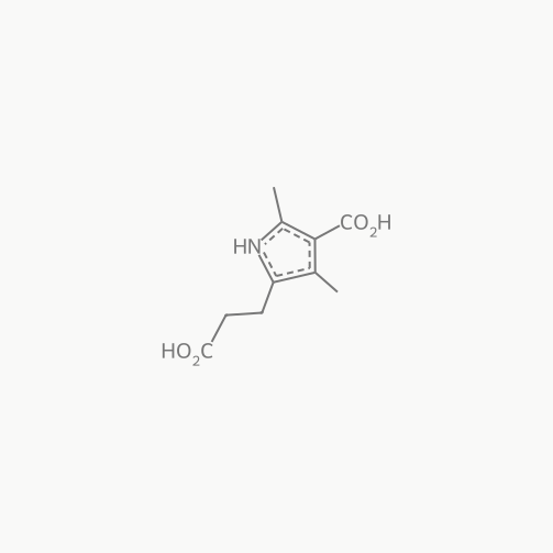 Cc1[nH]c(CCC(=O)O)c(C)c1C(=O)O